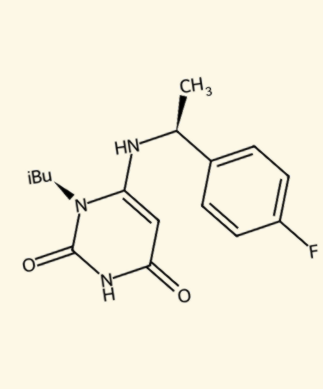 CC[C@H](C)n1c(N[C@@H](C)c2ccc(F)cc2)cc(=O)[nH]c1=O